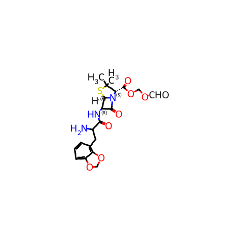 CC1(C)S[C@@H]2[C@H](NC(=O)C(N)Cc3cccc4c3OCO4)C(=O)N2[C@H]1C(=O)OCOC=O